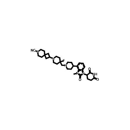 Cn1c(=O)n(C2CCC(=O)NC2=O)c2cccc(C3CCN(CC4(F)CCN(C5CC6(CCB(C#N)CC6)C5)CC4)CC3)c21